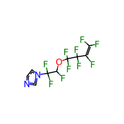 FC(F)=C(F)C(F)(F)C(F)(F)OC(F)C(F)(F)n1ccnc1